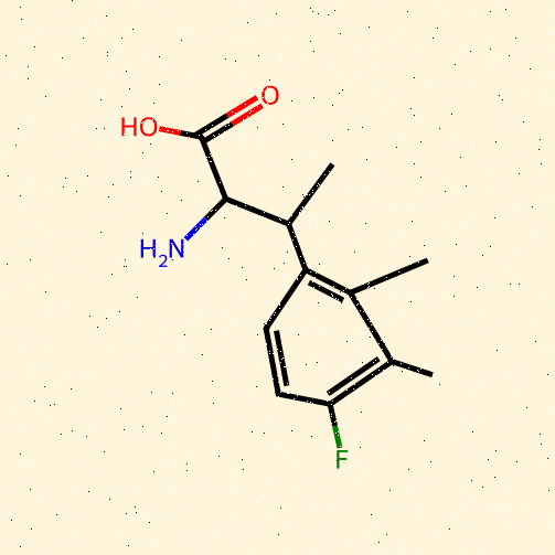 Cc1c(F)ccc(C(C)C(N)C(=O)O)c1C